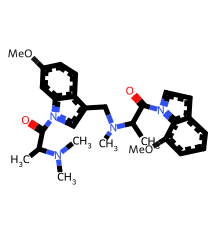 COc1ccc2c(CN(C)C(C)C(=O)n3ccc4cccc(OC)c43)cn(C(=O)C(C)N(C)C)c2c1